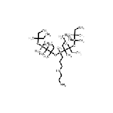 CCCC(C)(C(C)(CC)O[Si](C)(C)C(C)(C)CC)[Si](C)(CCCNCCN)OC(C)(CC)C(C)(C)[Si](C)(C)OC(C)(CC)CC